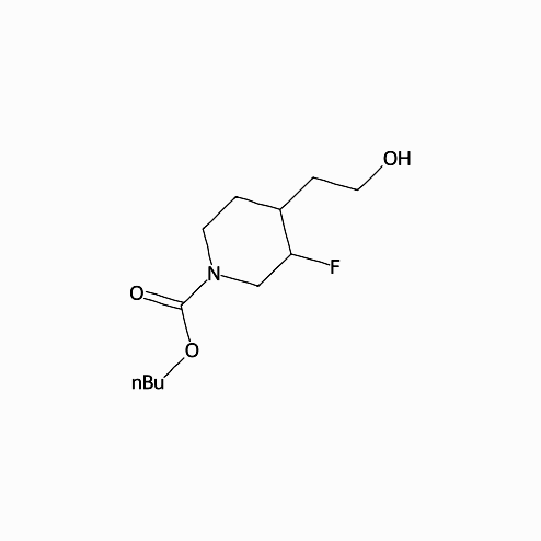 CCCCOC(=O)N1CCC(CCO)C(F)C1